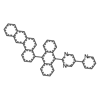 c1ccc(-c2cnc(-c3c4ccccc4c(-c4cccc5c4ccc4cc6ccccc6cc45)c4ccccc34)nc2)nc1